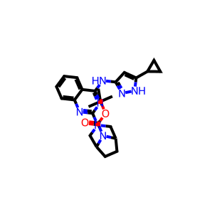 CC(C)(C)OC(=O)N1C2CCC1CN(c1nc(Nc3cc(C4CC4)[nH]n3)c3ccccc3n1)C2